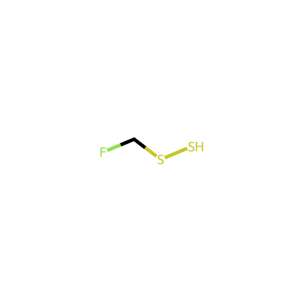 FCSS